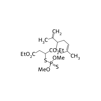 C=C(C)C1CC=C(C)CC1.CCOC(=O)CC(SP(=S)(OC)OC)C(=O)OCC